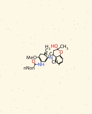 CCCCCCCCCC(=O)NC1=C(OC)CC(C)C(N(C)C2(C)CC(C)(O)Oc3ccccc32)=C1